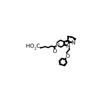 O=C(O)CCCCC(=O)N1CCc2c(n(CCOc3ccccc3)c3ncccc23)C1